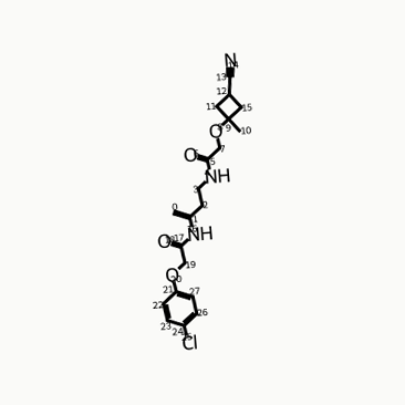 C=C(CCNC(=O)COC1(C)CC(C#N)C1)NC(=O)COc1ccc(Cl)cc1